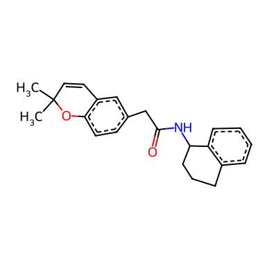 CC1(C)C=Cc2cc(CC(=O)NC3CCCc4ccccc43)ccc2O1